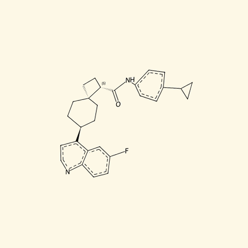 O=C(Nc1ccc(C2CC2)cc1)[C@H]1CC[C@]12CC[C@H](c1ccnc3ccc(F)cc31)CC2